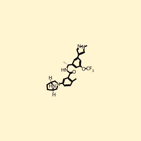 Cc1ccc(N2C[C@H]3CC[C@@H](C2)N3)cc1C(=O)N[C@H](C)c1cc(OC(F)(F)F)cc(-c2cnn(C)c2)c1